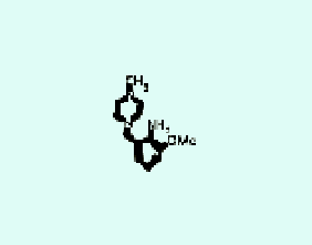 COc1cccc(CN2CCN(C)CC2)c1N